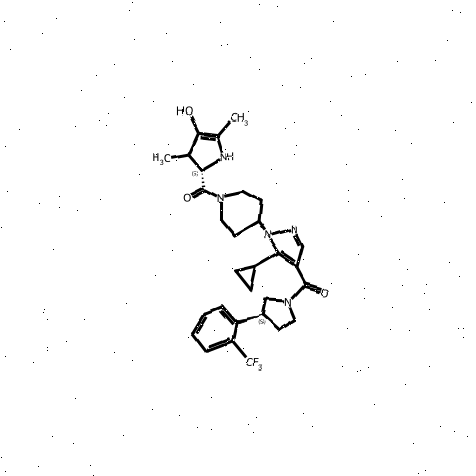 CC1=C(O)C(C)[C@@H](C(=O)N2CCC(n3ncc(C(=O)N4CC[C@@H](c5ccccc5C(F)(F)F)C4)c3C3CC3)CC2)N1